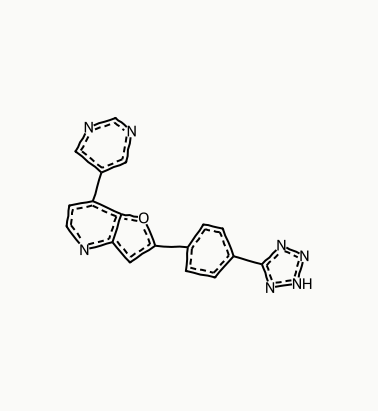 c1ncc(-c2ccnc3cc(-c4ccc(-c5nn[nH]n5)cc4)oc23)cn1